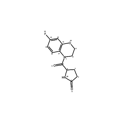 O=C1CCC(C(=O)N2CCOc3cc(F)ccc32)N1